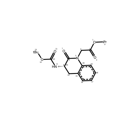 CC(C)OC(=O)CN1C(=O)[C@@H](NC(=O)OC(C)(C)C)Cc2ccccc21